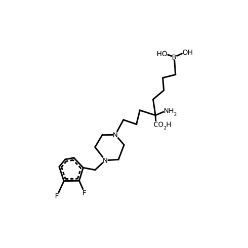 NC(CCCCB(O)O)(CCCN1CCN(Cc2cccc(F)c2F)CC1)C(=O)O